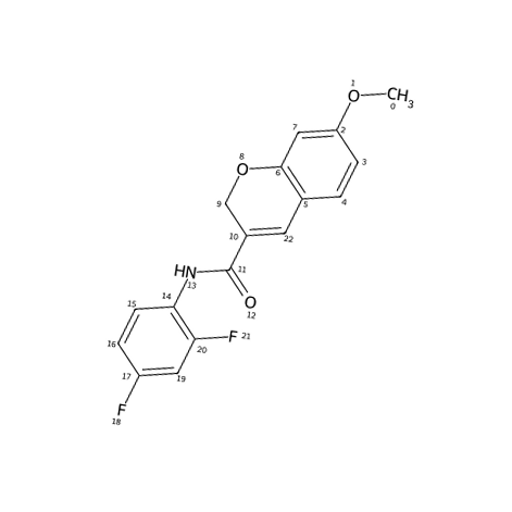 COc1ccc2c(c1)OCC(C(=O)Nc1ccc(F)cc1F)=C2